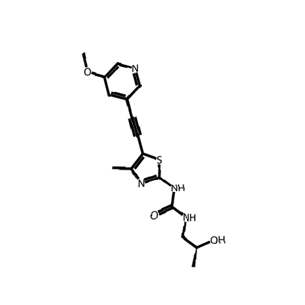 COc1cncc(C#Cc2sc(NC(=O)NC[C@H](C)O)nc2C)c1